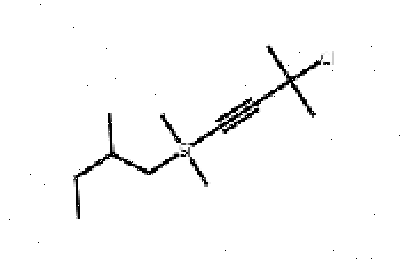 CCC(C)C[Si](C)(C)C#CC(C)(C)Cl